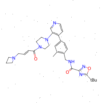 Cc1cc(-c2ccncc2N2CCN(C(=O)C=CCN3CCC3)CC2)ccc1CNC(=O)c1noc(C(C)(C)C)n1